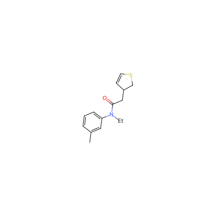 CCN(C(=O)CC1C=CSC1)c1cccc(C)c1